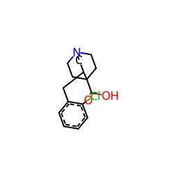 O=C(O)C12CCN(CC1)CC2Cc1ccccc1Cl